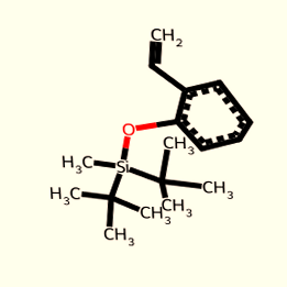 C=Cc1ccccc1O[Si](C)(C(C)(C)C)C(C)(C)C